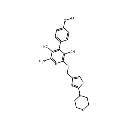 CCOc1ccc(-c2c(C#N)c(N)nc(SCc3csc(N4CCOCC4)n3)c2C#N)cc1